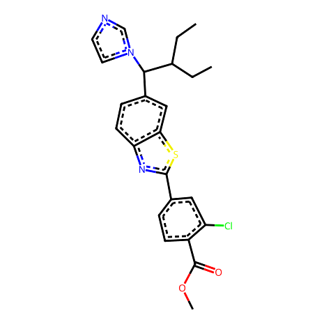 CCC(CC)C(c1ccc2nc(-c3ccc(C(=O)OC)c(Cl)c3)sc2c1)n1ccnc1